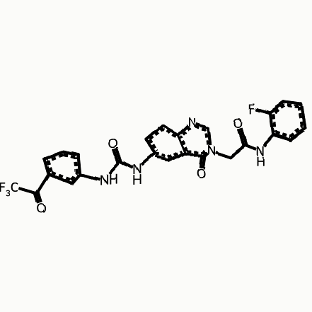 O=C(Cn1cnc2ccc(NC(=O)Nc3cccc(C(=O)C(F)(F)F)c3)cc2c1=O)Nc1ccccc1F